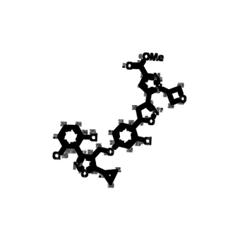 COC(=O)c1cc(C2=NOC(c3ccc(OCc4c(-c5c(Cl)cccc5Cl)noc4C4CC4)cc3Cl)C2)n(C2COC2)n1